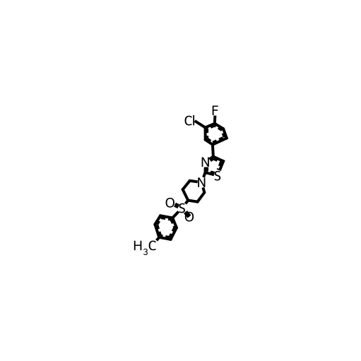 Cc1ccc(S(=O)(=O)C2CCN(c3nc(-c4ccc(F)c(Cl)c4)cs3)CC2)cc1